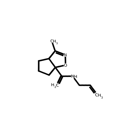 C=CCNC(=C)C12CCCC1C(C)=NO2